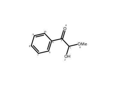 COC(O)C(=O)c1ccccc1